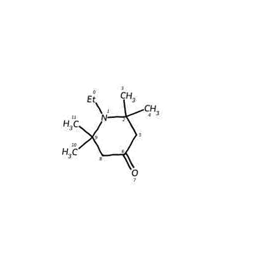 CCN1C(C)(C)CC(=O)CC1(C)C